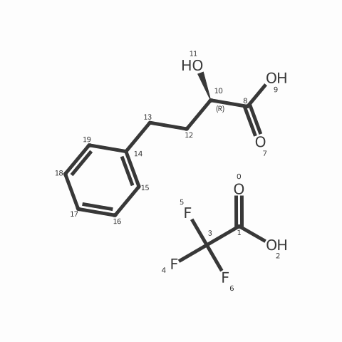 O=C(O)C(F)(F)F.O=C(O)[C@H](O)CCc1ccccc1